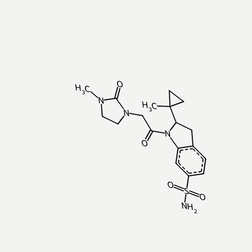 CN1CCN(CC(=O)N2c3cc(S(N)(=O)=O)ccc3CC2C2(C)CC2)C1=O